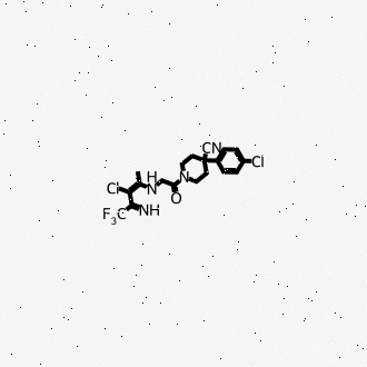 C/C(NCC(=O)N1CCC(C#N)(c2ccc(Cl)cc2)CC1)=C(\Cl)C(=N)C(F)(F)F